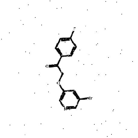 O=C(COc1cncc(Br)c1)c1ccc(F)cc1